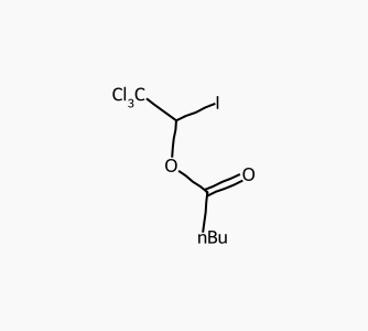 CCCCC(=O)OC(I)C(Cl)(Cl)Cl